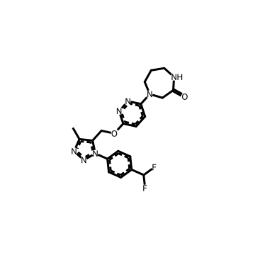 Cc1nnn(-c2ccc(C(F)F)cc2)c1COc1ccc(N2CCCNC(=O)C2)nn1